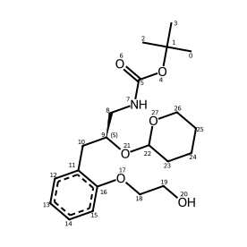 CC(C)(C)OC(=O)NC[C@H](Cc1ccccc1OCCO)OC1CCCCO1